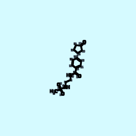 CS(=O)(=O)NCCNC(=O)c1ccc([C@@H]2CCC(=O)C2)cc1